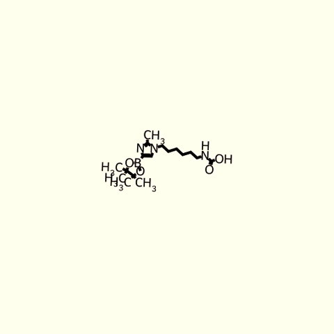 Cc1nc(B2OC(C)(C)C(C)(C)O2)cn1CCCCCCNC(=O)O